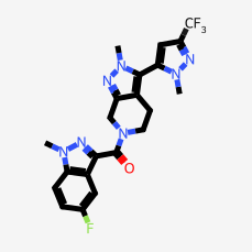 Cn1nc(C(F)(F)F)cc1-c1c2c(nn1C)CN(C(=O)c1nn(C)c3ccc(F)cc13)CC2